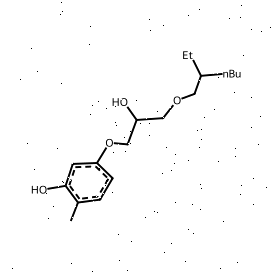 CCCCC(CC)COCC(O)COc1ccc(C)c(O)c1